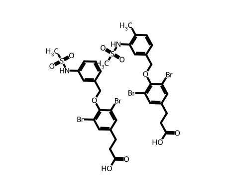 CS(=O)(=O)Nc1cccc(COc2c(Br)cc(CCC(=O)O)cc2Br)c1.Cc1ccc(COc2c(Br)cc(CCC(=O)O)cc2Br)cc1NS(C)(=O)=O